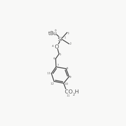 CC(C)(C)[Si](C)(C)OCCc1ccc(C(=O)O)cc1